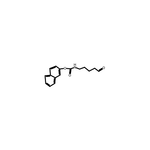 O=CCCCCNC(=O)Oc1ccc2ccccc2c1